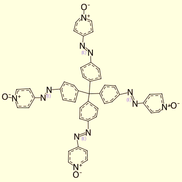 [O-][n+]1ccc(/N=N/c2ccc(C(c3ccc(/N=N/c4cc[n+]([O-])cc4)cc3)(c3ccc(/N=N/c4cc[n+]([O-])cc4)cc3)c3ccc(/N=N/c4cc[n+]([O-])cc4)cc3)cc2)cc1